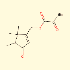 CC1C(=O)C=C(COC(=O)C(=O)C(C)(C)C)C1(C)C